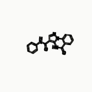 O=C(Nc1ccccc1)c1cnn2c1[nH]c(=O)c1ccccc12